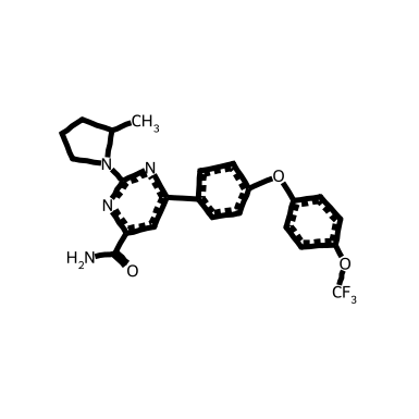 CC1CCCN1c1nc(C(N)=O)cc(-c2ccc(Oc3ccc(OC(F)(F)F)cc3)cc2)n1